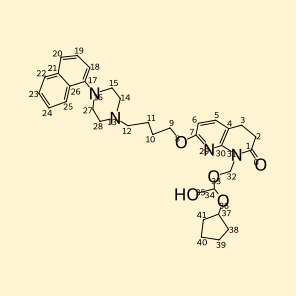 O=C1CCc2ccc(OCCCCN3CCN(c4cccc5ccccc45)CC3)nc2N1COC(O)OC1CCCC1